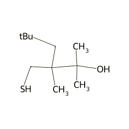 CC(C)(C)CC(C)(CS)C(C)(C)O